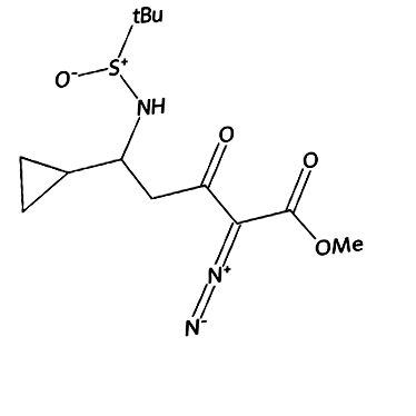 COC(=O)C(=[N+]=[N-])C(=O)CC(N[S+]([O-])C(C)(C)C)C1CC1